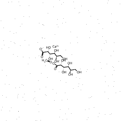 C=O.O=C([O-])[C@H](O)[C@@H](O)[C@H](O)[C@H](O)CO.O=C([O-])[C@H](O)[C@@H](O)[C@H](O)[C@H](O)CO.[Ca+2]